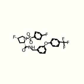 O=C(NCc1cccc(Oc2ccc(C(F)(F)F)cc2)c1)[C@@H]1C[C@H](F)CN1S(=O)(=O)c1ccc(F)cc1